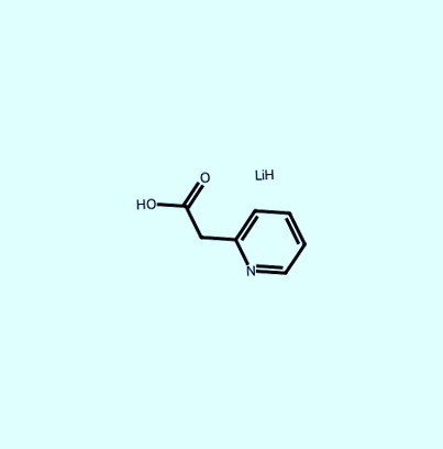 O=C(O)Cc1ccccn1.[LiH]